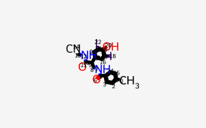 Cc1ccc(C(=O)NCC(C(=O)NCC#N)c2cc(I)c(O)c(I)c2)cc1